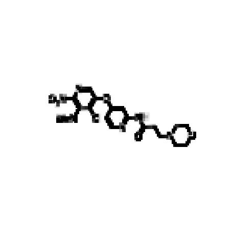 CNc1c([N+](=O)[O-])ncc(Oc2ccnc(NC(=O)CCN3CCOCC3)c2)c1Cl